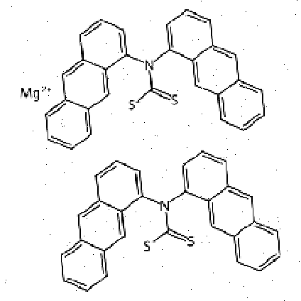 S=C([S-])N(c1cccc2cc3ccccc3cc12)c1cccc2cc3ccccc3cc12.S=C([S-])N(c1cccc2cc3ccccc3cc12)c1cccc2cc3ccccc3cc12.[Mg+2]